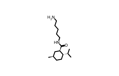 CC(C)[C@@H]1CC[C@@H](C)C[C@H]1C(=O)NCCCCCN